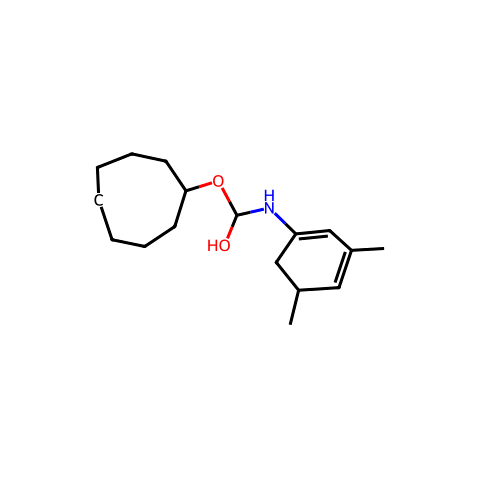 CC1=CC(C)CC(NC(O)OC2CCCCCCC2)=C1